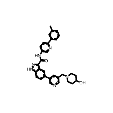 Cc1cccc(-c2ccc(NC(=O)c3n[nH]c4ccc(-c5cncc(CN6CCC(O)CC6)c5)cc34)cn2)c1